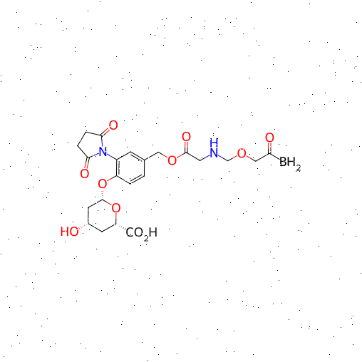 BC(=O)COCNCC(=O)OCc1ccc(O[C@H]2C[C@@H](O)C[C@@H](C(=O)O)O2)c(N2C(=O)CCC2=O)c1